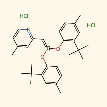 Cc1ccnc([CH]=[Ti]([O]c2ccc(C)cc2C(C)(C)C)[O]c2ccc(C)cc2C(C)(C)C)c1.Cl.Cl